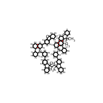 CC1(C)c2ccccc2-c2ccc(-c3cccc(N(c4cccc(-c5ccc6c(c5)C(C)(CCC5(C)c7ccccc7-c7ccc(-c8cccc(N(c9cccc(-c%10ccc%11c(c%10)oc%10ccccc%10%11)c9)c9ccccc9-c9ccccc9)c8)cc75)c5ccccc5-6)c4)c4ccccc4-c4ccccc4)c3)cc21